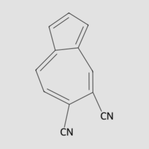 N#Cc1ccc2cccc-2cc1C#N